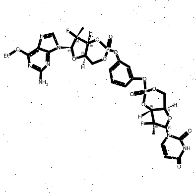 CCOc1nc(N)nc2c1ncn2[C@@H]1O[C@@H]2COP(=O)(Oc3cccc(OP4(=O)OC[C@H]5O[C@@H](n6ccc(=O)[nH]c6=O)[C@](C)(F)[C@@H]5O4)c3)O[C@H]2[C@@]1(C)F